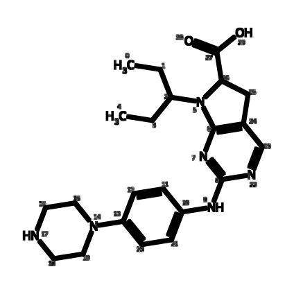 CCC(CC)N1c2nc(Nc3ccc(N4CCNCC4)cc3)ncc2CC1C(=O)O